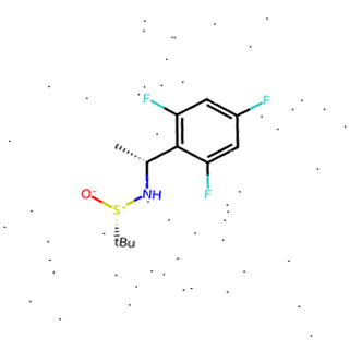 C[C@@H](N[S@@+]([O-])C(C)(C)C)c1c(F)cc(F)cc1F